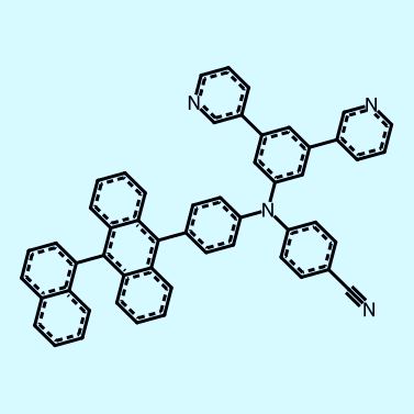 N#Cc1ccc(N(c2ccc(-c3c4ccccc4c(-c4cccc5ccccc45)c4ccccc34)cc2)c2cc(-c3cccnc3)cc(-c3cccnc3)c2)cc1